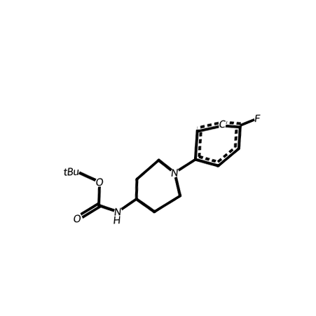 CC(C)(C)OC(=O)NC1CCN(c2ccc(F)cc2)CC1